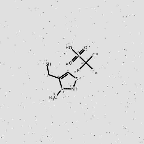 CN1NSC=C1CS.O=S(=O)(O)C(F)(F)F